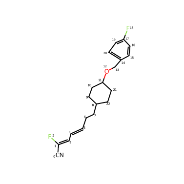 N#CC(F)=CC=CCCC1CCC(OCc2ccc(F)cc2)CC1